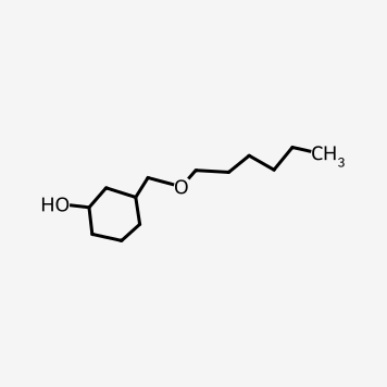 CCCCCCOCC1CCCC(O)C1